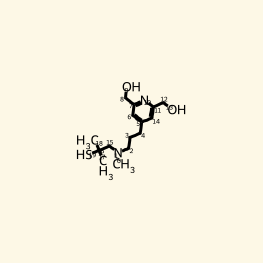 CN(CCCc1cc(CO)nc(CO)c1)CC(C)(C)S